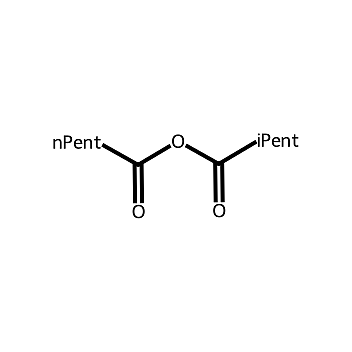 CCCCCC(=O)OC(=O)C(C)CCC